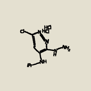 CC(C)Nc1cc(Cl)nnc1NN.Cl.Cl